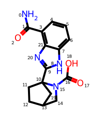 NC(=O)c1cccc2[nH]c(C34CCC(CN3C(=O)O)C4)nc12